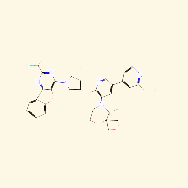 CC(=O)Nc1cc(-c2cnc(O[C@H]3C[C@@H](C(=O)O)N(c4nc(C(F)F)nc5c4oc4ccccc45)C3)c(N3CCOC4(COC4)[C@@H]3C)c2)ccn1